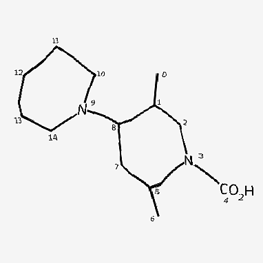 CC1CN(C(=O)O)C(C)CC1N1CCCCC1